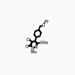 CSc1nn(C(C)(C)C)c(=O)c(Cl)c1C1CCC(COC(C)C)CC1